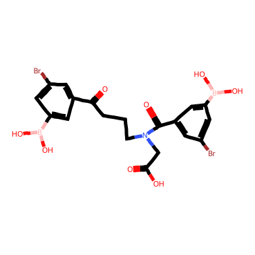 O=C(O)CN(CCCC(=O)c1cc(Br)cc(B(O)O)c1)C(=O)c1cc(Br)cc(B(O)O)c1